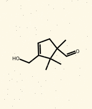 CC1(C=O)CC=C(CO)C1(C)C